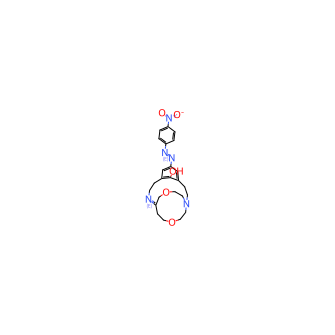 O=[N+]([O-])c1ccc(/N=N/c2cc3c(O)c(c2)CCN2CCOCC/C(=N\CC3)COCC2)cc1